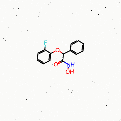 O=C(NO)C(Oc1ccccc1F)c1ccccc1